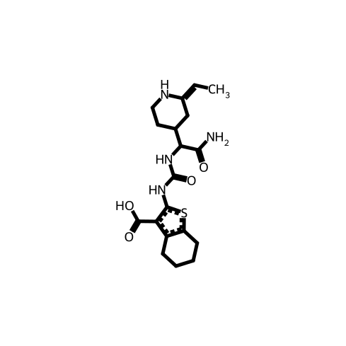 CC=C1CC(C(NC(=O)Nc2sc3c(c2C(=O)O)CCCC3)C(N)=O)CCN1